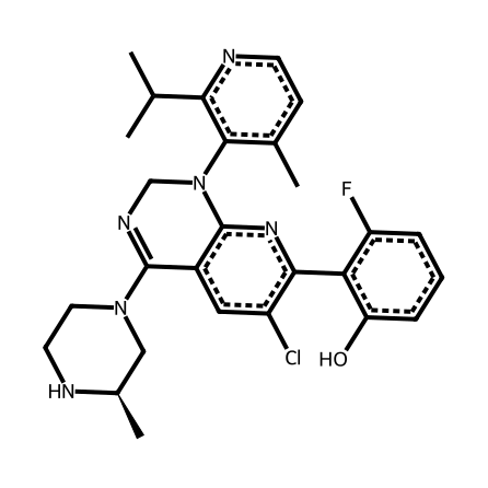 Cc1ccnc(C(C)C)c1N1CN=C(N2CCN[C@H](C)C2)c2cc(Cl)c(-c3c(O)cccc3F)nc21